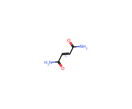 NC(=O)/C=C/C(N)=O